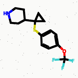 FC(F)(F)Oc1ccc(SC2(C3CCNCC3)CC2)cc1